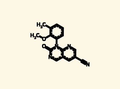 COc1c(C)cccc1-n1c(=O)ncc2cc(C#N)cnc21